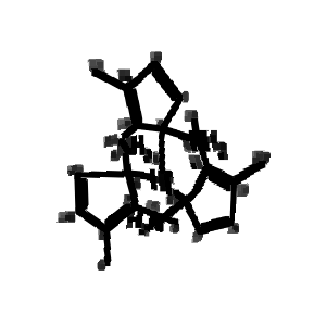 CC1=C(C)[C](N)([Hf]([C]2(N)C=CC(C)=C2C)[C]2(N)C=CC(C)=C2C)C=C1